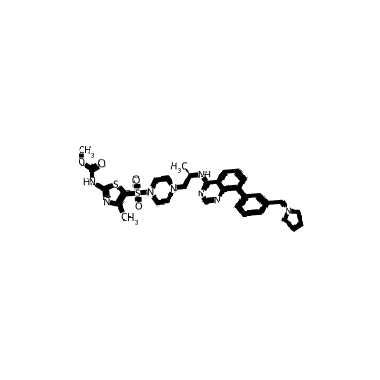 COC(=O)Nc1nc(C)c(S(=O)(=O)N2CCN(C[C@H](C)Nc3ncnc4c(-c5cccc(CN6CCCC6)c5)cccc34)CC2)s1